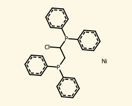 ClC(CP(c1ccccc1)c1ccccc1)P(c1ccccc1)c1ccccc1.[Ni]